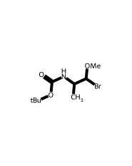 COC(Br)C(C)NC(=O)OC(C)(C)C